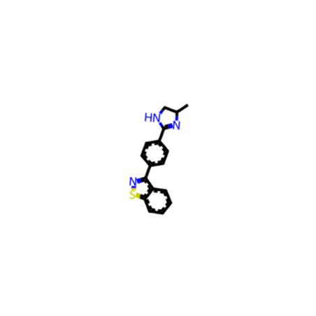 CC1CNC(c2ccc(-c3nsc4ccccc34)cc2)=N1